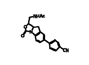 CC(=O)NCC1OC(=O)N2c3ccc(-c4ccc(C#N)cc4)cc3CC12